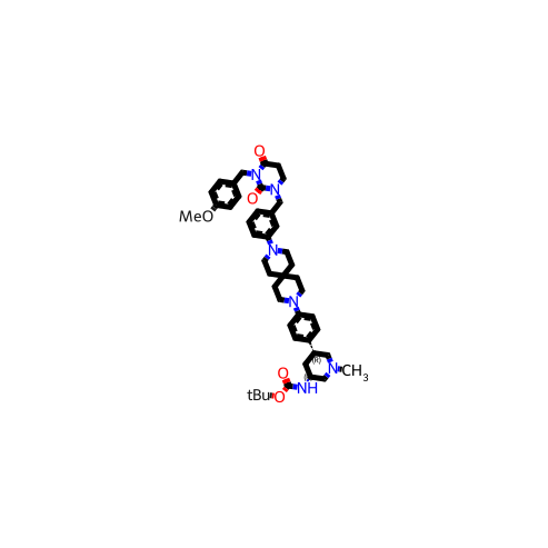 COc1ccc(CN2C(=O)CCN(Cc3cccc(N4CCC5(CCN(c6ccc([C@H]7C[C@@H](NC(=O)OC(C)(C)C)CN(C)C7)cc6)CC5)CC4)c3)C2=O)cc1